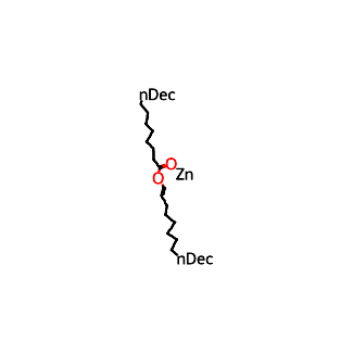 CCCCCCCCCCCCCCCCC=COC(=O)CCCCCCCCCCCCCCCCC.[Zn]